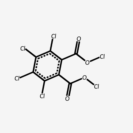 O=C(OCl)c1c(Cl)c(Cl)c(Cl)c(Cl)c1C(=O)OCl